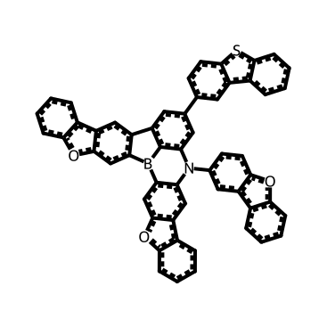 c1ccc2c(c1)oc1ccc(N3c4cc5c(cc4B4c6cc7oc8ccccc8c7cc6-c6cc(-c7ccc8sc9ccccc9c8c7)cc3c64)oc3ccccc35)cc12